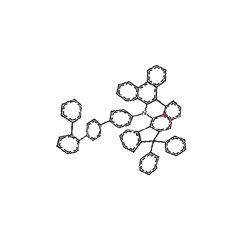 c1ccc(-c2ccccc2-c2ccc(-c3ccc(N(c4cccc5c4-c4ccccc4C5(c4ccccc4)c4ccccc4)c4c(-c5ccccc5)c5ccccc5c5ccccc45)cc3)cc2)cc1